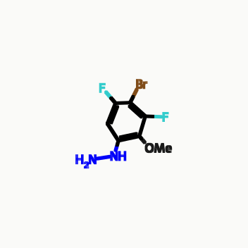 COc1c(NN)cc(F)c(Br)c1F